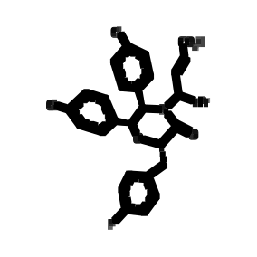 CCCC(/C=C/C(=O)O)N1C(=O)[C@H](Cc2ccc(F)cc2)O[C@@H](c2ccc(Cl)cc2)[C@H]1c1ccc(Cl)cc1